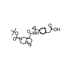 CN1CC(C(=O)NC2(c3ccc(CC(=O)O)cc3)CC2)=C2CN(C(=O)OC(C)(C)C)CCN21